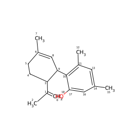 C=C(C)C1CCC(C)=CC1c1c(C)cc(C)cc1O